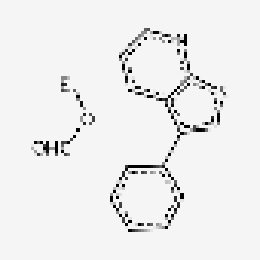 CCOC=O.c1ccc(-c2csc3ncccc23)cc1